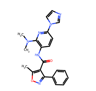 Cc1onc(-c2ccccc2)c1C(=O)Nc1ccc(-n2ccnc2)nc1N(C)C